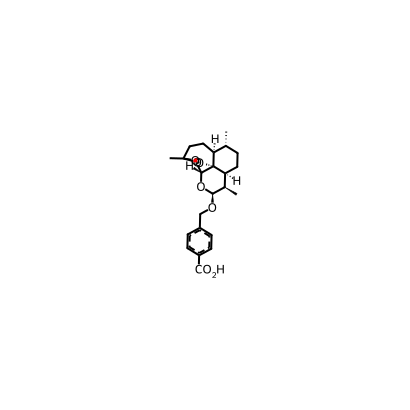 C[C@H]1[C@@H](OCc2ccc(C(=O)O)cc2)O[C@@H]2OC3(C)CC[C@H]4[C@H](C)CC[C@@H]1[C@@]24OO3